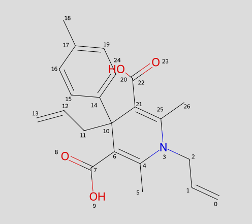 C=CCN1C(C)=C(C(=O)O)C(CC=C)(c2ccc(C)cc2)C(C(=O)O)=C1C